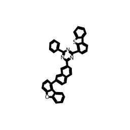 c1ccc(-c2nc(-c3ccc4ccc(-c5cccc6oc7ccccc7c56)cc4c3)nc(-c3cccc4c3sc3ccccc34)n2)cc1